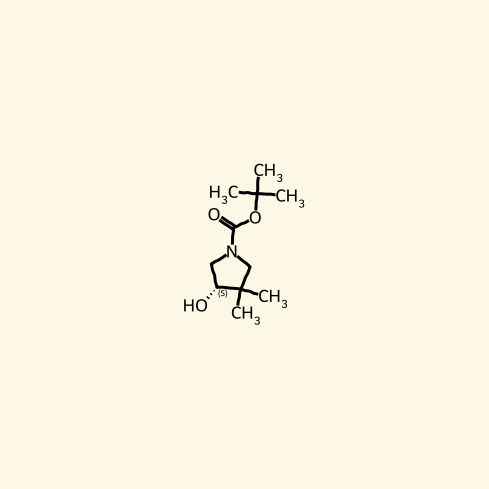 CC(C)(C)OC(=O)N1C[C@@H](O)C(C)(C)C1